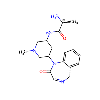 C[C@H](N)C(=O)NC1CC(N2C(=O)C=NCc3ccccc32)CN(C)C1